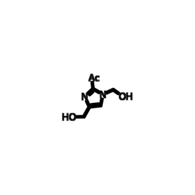 CC(=O)c1nc(CO)cn1CO